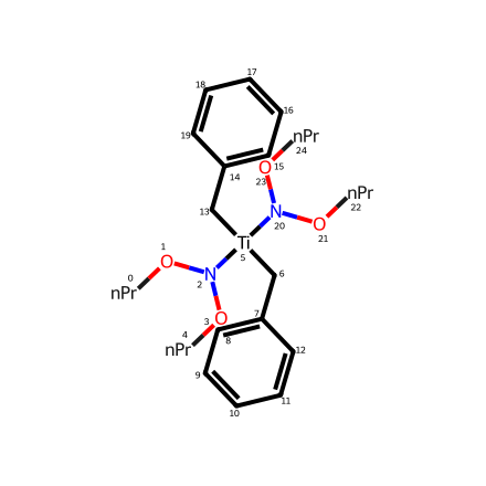 CCCO[N](OCCC)[Ti]([CH2]c1ccccc1)([CH2]c1ccccc1)[N](OCCC)OCCC